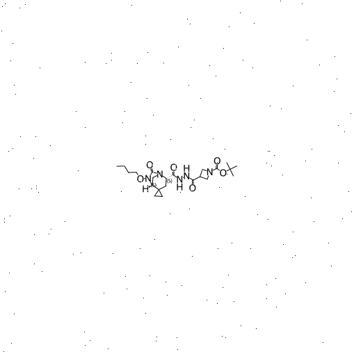 CCCCON1C(=O)N2C[C@@H]1C1(CC1)C[C@H]2C(=O)NNC(=O)C1CN(C(=O)OC(C)(C)C)C1